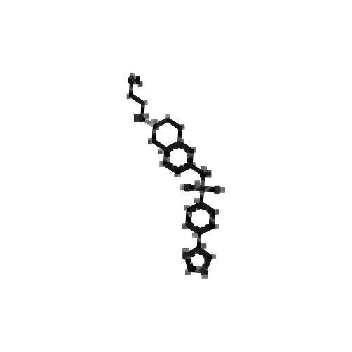 CCCN[C@@H]1CCc2cc(NS(=O)(=O)c3ccc(-c4cnco4)cc3)ccc2C1